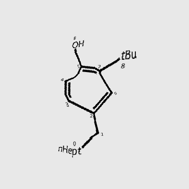 CCCCCCCCc1ccc(O)c(C(C)(C)C)c1